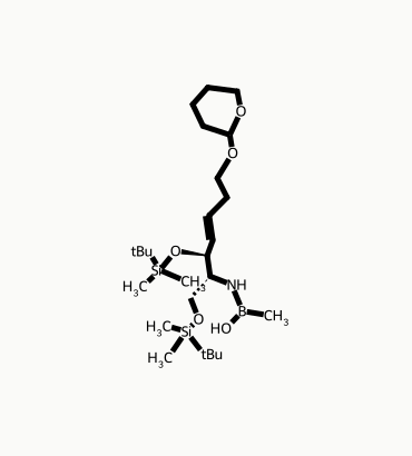 CB(O)N[C@H](CO[Si](C)(C)C(C)(C)C)[C@H](/C=C/CCOC1CCCCO1)O[Si](C)(C)C(C)(C)C